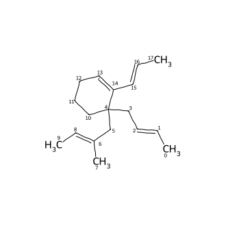 CC=CCC1(CC(C)=CC)CCC[C]=C1C=CC